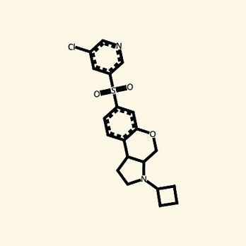 O=S(=O)(c1cncc(Cl)c1)c1ccc2c(c1)OCC1C2CCN1C1CCC1